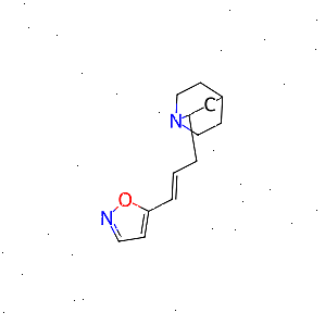 C(=Cc1ccno1)CC1CC2CCN1CC2